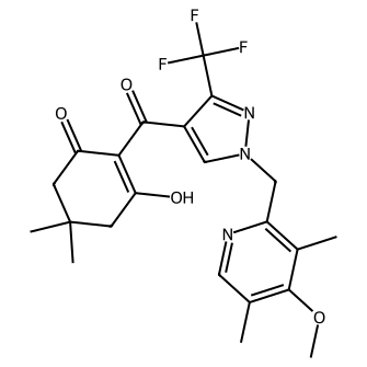 COc1c(C)cnc(Cn2cc(C(=O)C3=C(O)CC(C)(C)CC3=O)c(C(F)(F)F)n2)c1C